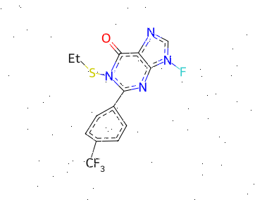 CCSn1c(-c2ccc(C(F)(F)F)cc2)nc2c(ncn2F)c1=O